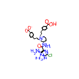 Nc1nc(N)c(C(=O)NC2CCC[N+](CCCc3ccc(C(=O)[O-])cc3)(CCCc3ccc(C(=O)O)cc3)C2)nc1Cl